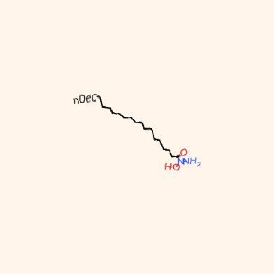 CCCCCCCCCCCCCCCCCCCCCCCCCCC(=O)N(N)O